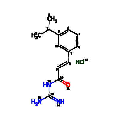 CC(C)c1cccc(C=CC(=O)NC(=N)N)c1.Cl